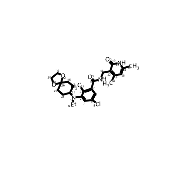 CCN(c1cc(Cl)cc(C(=O)NCc2c(C)cc(C)[nH]c2=O)c1C)C1CCC2(CC1)OCCO2